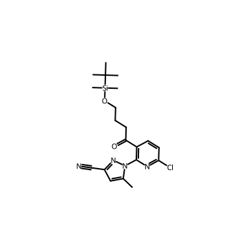 Cc1cc(C#N)nn1-c1nc(Cl)ccc1C(=O)CCCO[Si](C)(C)C(C)(C)C